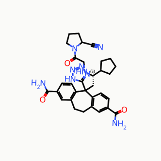 N#CC1CCCN1C(=O)CN[C@@H](CC1(c2nnn[nH]2)c2ccc(C(N)=O)cc2CCc2cc(C(N)=O)ccc21)C1CCCC1